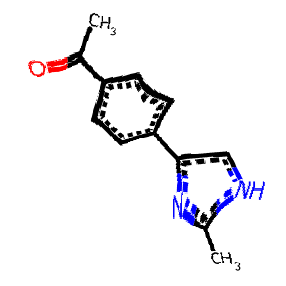 CC(=O)c1ccc(-c2c[nH]c(C)n2)cc1